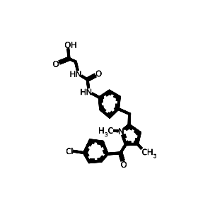 Cc1cc(Cc2ccc(NC(=O)NCC(=O)O)cc2)n(C)c1C(=O)c1ccc(Cl)cc1